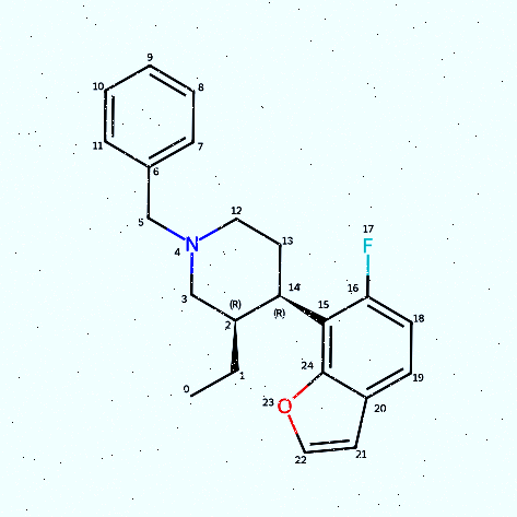 CC[C@H]1CN(Cc2ccccc2)CC[C@H]1c1c(F)ccc2ccoc12